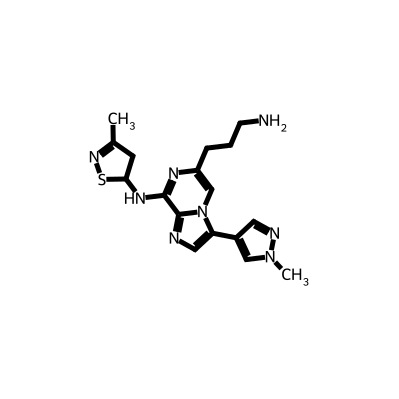 CC1=NSC(Nc2nc(CCCN)cn3c(-c4cnn(C)c4)cnc23)C1